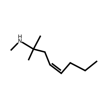 CCC/C=C\CC(C)(C)NC